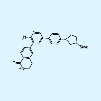 CSC1CCN(c2ccc(-c3cnc(N)c(-c4ccc5c(c4)CCNC5=O)c3)cc2)C1